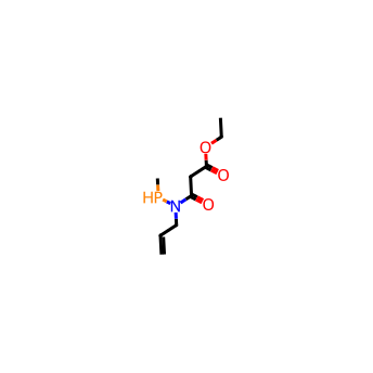 C=CCN(PC)C(=O)CC(=O)OCC